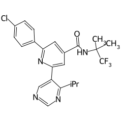 CC(C)c1ncncc1-c1cc(C(=O)NC(C)(C)C(F)(F)F)cc(-c2ccc(Cl)cc2)n1